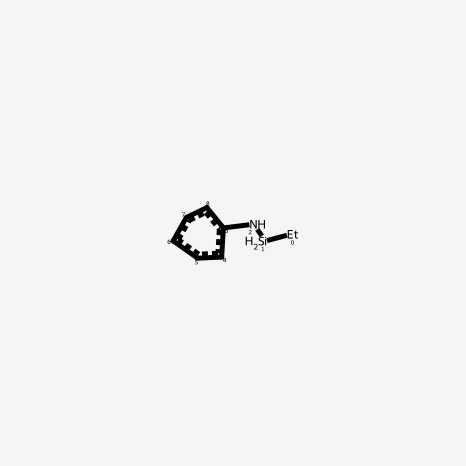 CC[SiH2]Nc1ccccc1